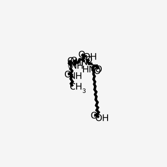 CCCCNC(=O)CC[C@@H](C=O)NC(=O)CCC(NC(=O)CC[C@@H](C=O)NC(=O)CCCCCCCCCCCCCCCCC(=O)O)C(=O)O